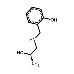 C[C@@H](O)CNCc1ccccc1O